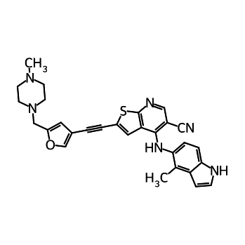 Cc1c(Nc2c(C#N)cnc3sc(C#Cc4coc(CN5CCN(C)CC5)c4)cc23)ccc2[nH]ccc12